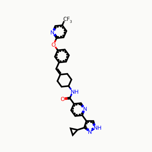 O=C(NC1CCC(=Cc2cccc(Oc3ccc(C(F)(F)F)cn3)c2)CC1)c1ccc(-c2c[nH]nc2C2CC2)nc1